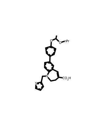 CCCOC(C)Oc1ccc(-c2ccc3c(c2)C=C(C(=O)O)CCN3Cc2cccs2)cc1